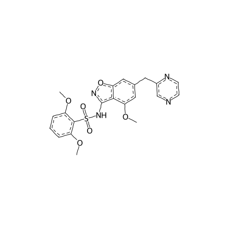 COc1cccc(OC)c1S(=O)(=O)Nc1noc2cc(Cc3cnccn3)cc(OC)c12